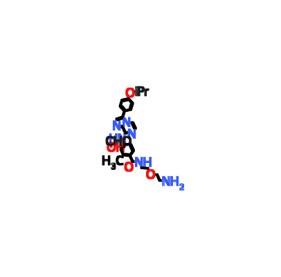 Cc1cc(Nc2nccn3c(-c4ccc(OC(C)C)cc4)cnc23)ccc1C(=O)NCCOCCN.O=CO